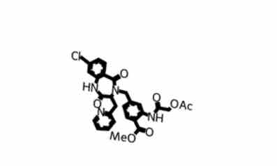 COC(=O)c1ccc(CN2C(=O)c3ccc(Cl)cc3NC(=O)C2Cc2ccccn2)cc1NC(=O)COC(C)=O